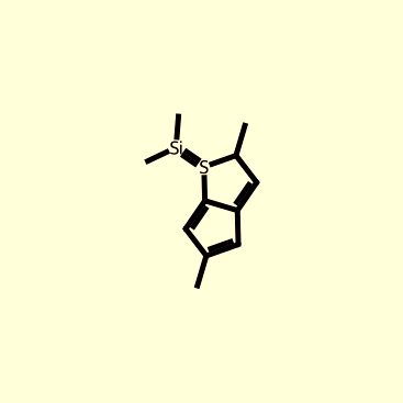 CC1=CC2=CC(C)S(=[Si](C)C)C2=C1